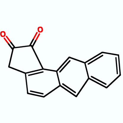 O=C1Cc2ccc3cc4ccccc4cc3c2C1=O